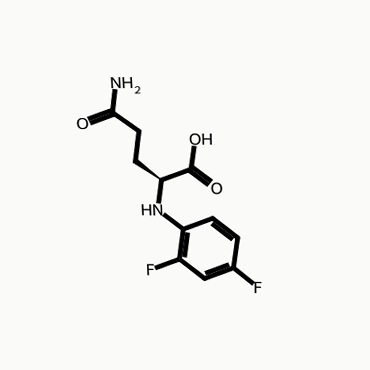 NC(=O)CC[C@H](Nc1ccc(F)cc1F)C(=O)O